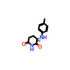 Cc1ccc(N[C@H]2CCC(=O)NC2=O)cc1